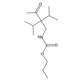 CCCOC(=O)NCC(C(C)=O)(C(C)C)C(C)C